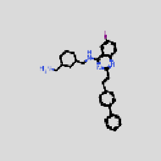 NCC1CCCC(CNc2nc(/C=C/c3ccc(-c4ccccc4)cc3)nc3ccc(I)cc23)C1